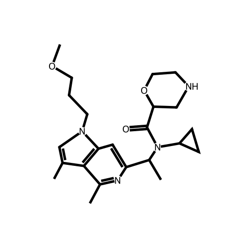 COCCCn1cc(C)c2c(C)nc(C(C)N(C(=O)C3CNCCO3)C3CC3)cc21